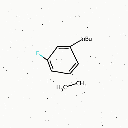 CC.CCCCc1cccc(F)c1